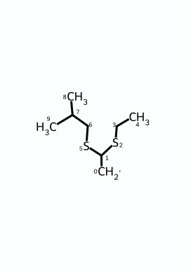 [CH2]C(SCC)SCC(C)C